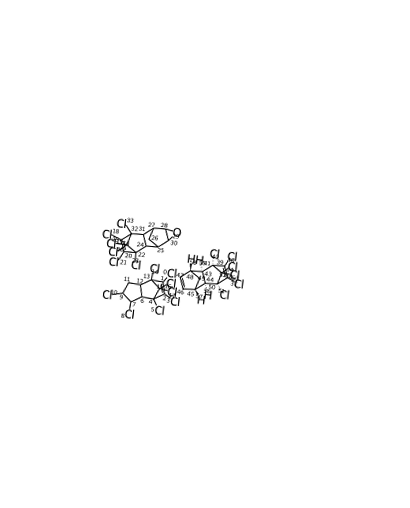 ClC1=C(Cl)C2(Cl)C3C(Cl)C(Cl)CC3C1(Cl)C2(Cl)Cl.ClC1=C(Cl)C2(Cl)C3C4CC(C5OC45)C3C1(Cl)C2(Cl)Cl.ClC1=C(Cl)[C@]2(Cl)[C@H]3[C@H]([C@@H]4C=C[C@H]3C4)[C@@]1(Cl)C2(Cl)Cl